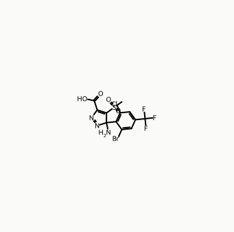 CS(=O)(=O)C1=C(C(=O)O)N=NC1(N)c1c(Cl)cc(C(F)(F)F)cc1Br